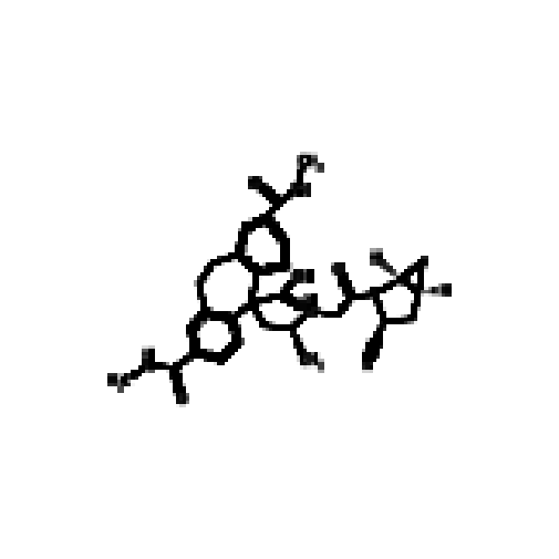 CNC(=O)c1ccc2c(c1)CCc1cc(C(=O)NC)ccc1C2(C[C@H](C)NCC(=O)N1[C@H](C#N)C[C@@H]2C[C@@H]21)C(=O)O